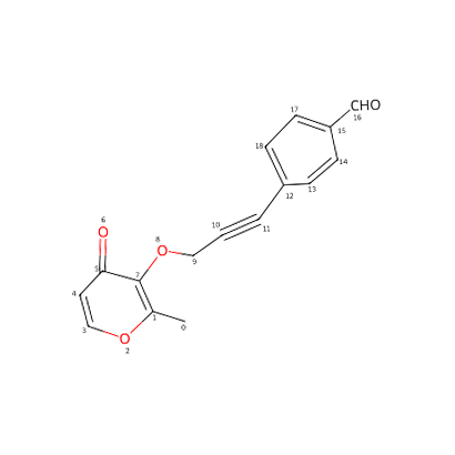 Cc1occc(=O)c1OCC#Cc1ccc(C=O)cc1